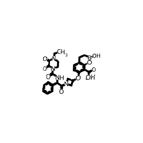 CCN1CCN(C(=O)NC(C(=O)N2CC(Oc3ccc4c(c3C(=O)O)OB(O)CC4)C2)c2ccccc2)C(=O)C1=O